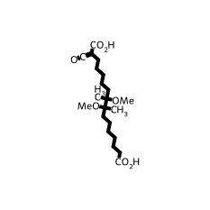 COC(C)(CCCCCCC(=O)O)C(C)(CCCCCC(=C=O)C(=O)O)OC